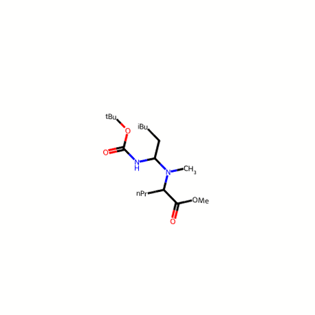 CCCC(C(=O)OC)N(C)C(CC(C)CC)NC(=O)OC(C)(C)C